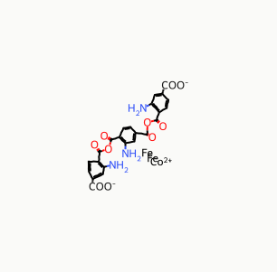 Nc1cc(C(=O)[O-])ccc1C(=O)OC(=O)c1ccc(C(=O)OC(=O)c2ccc(C(=O)[O-])cc2N)c(N)c1.[Co+2].[Fe].[Fe]